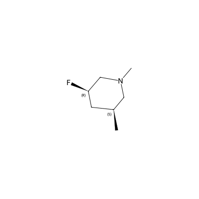 C[C@H]1C[C@@H](F)CN(C)C1